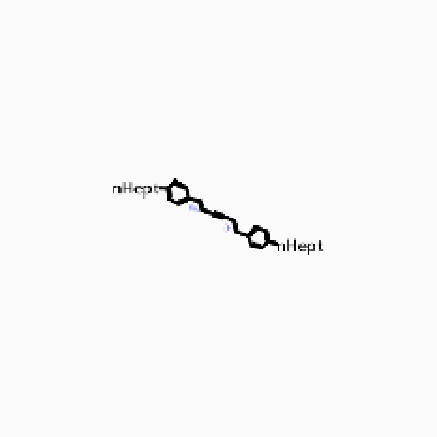 CCCCCCCc1ccc(/C=C/C#C/C=C/c2ccc(CCCCCCC)cc2)cc1